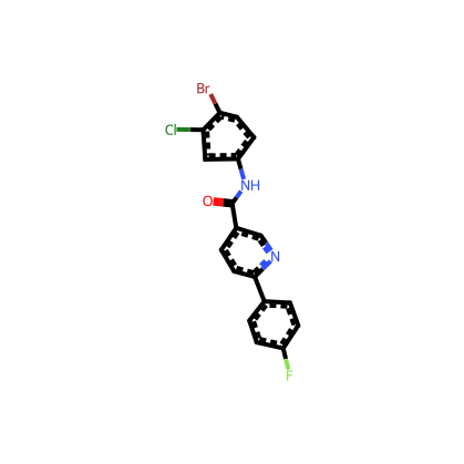 O=C(Nc1ccc(Br)c(Cl)c1)c1ccc(-c2ccc(F)cc2)nc1